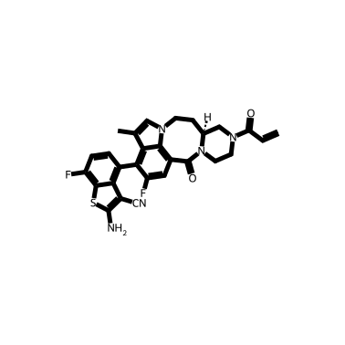 C=CC(=O)N1CCN2C(=O)c3cc(F)c(-c4ccc(F)c5sc(N)c(C#N)c45)c4c(C)cn(c34)CC[C@H]2C1